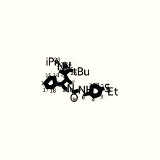 CCSc1ccc(CNC(=O)N2CC(c3ccccc3)C(c3cn(C(C)C)nc3C(C)(C)C)C2)cc1